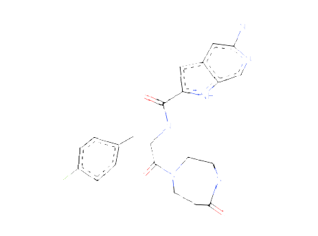 Nc1cc2cc(C(=O)N[C@@H](Cc3ccc(F)cc3)C(=O)N3CCNC(=O)CC3)[nH]c2cn1